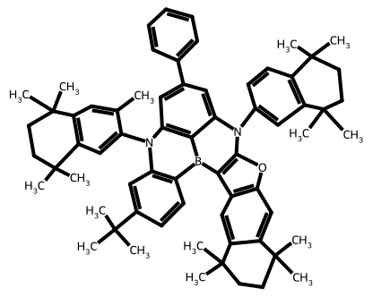 Cc1cc2c(cc1N1c3cc(C(C)(C)C)ccc3B3c4c1cc(-c1ccccc1)cc4N(c1ccc4c(c1)C(C)(C)CCC4(C)C)c1oc4cc5c(cc4c13)C(C)(C)CCC5(C)C)C(C)(C)CCC2(C)C